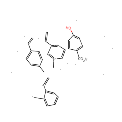 C=Cc1ccc(C)cc1.C=Cc1cccc(C)c1.C=Cc1ccccc1C.O=C(O)c1ccc(O)cc1